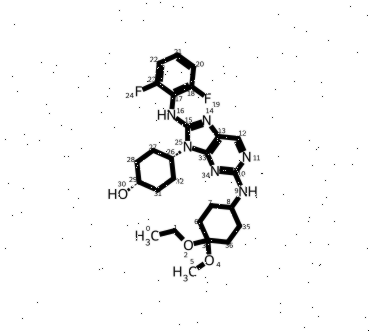 CCOC1(OC)CCC(Nc2ncc3nc(Nc4c(F)cccc4F)n([C@H]4CC[C@@H](O)CC4)c3n2)CC1